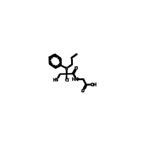 CCCN(c1ccccc1)[C@@](Cl)(CS)C(=O)NCC(=O)O